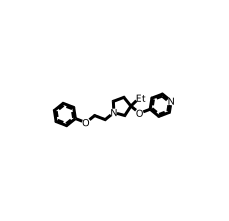 CCC1(Oc2ccncc2)CCN(CCOc2ccccc2)C1